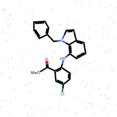 COC(=O)c1cc(Cl)ccc1Nc1cccc2ccn(Cc3ccccc3)c12